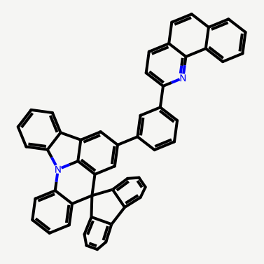 c1cc(-c2cc3c4c(c2)c2ccccc2n4-c2ccccc2C32c3ccccc3-c3ccccc32)cc(-c2ccc3ccc4ccccc4c3n2)c1